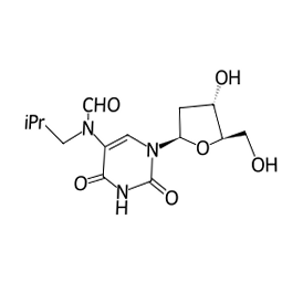 CC(C)CN(C=O)c1cn([C@H]2C[C@H](O)[C@@H](CO)O2)c(=O)[nH]c1=O